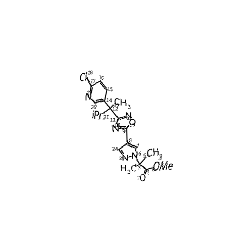 COC(=O)C(C)(C)n1cc(-c2nc(C(C)(c3ccc(Cl)nc3)C(C)C)no2)cn1